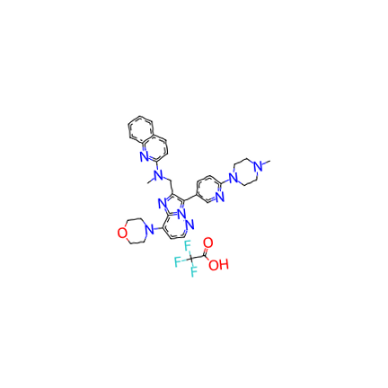 CN1CCN(c2ccc(-c3c(CN(C)c4ccc5ccccc5n4)nc4c(N5CCOCC5)ccnn34)cn2)CC1.O=C(O)C(F)(F)F